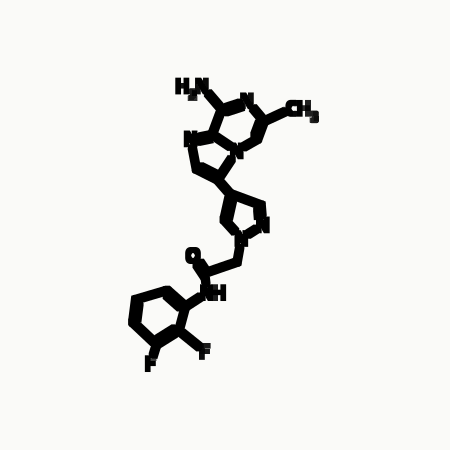 Cc1cn2c(-c3cnn(CC(=O)Nc4cccc(F)c4F)c3)cnc2c(N)n1